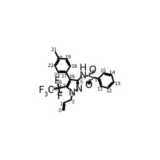 C=CCn1nc(NS(=O)(=O)c2ccccc2)c(-c2ccc(C)cc2)c1C(F)(F)C(F)(F)F